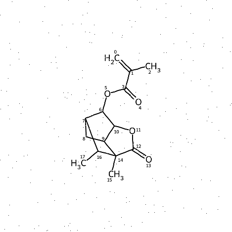 C=C(C)C(=O)OC1C2CC3C1OC(=O)C3(C)C2C